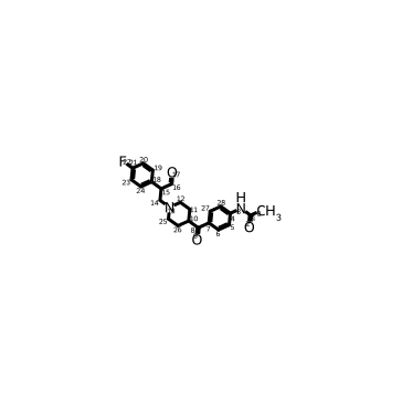 CC(=O)Nc1ccc(C(=O)C2CCN(CC(C=O)c3ccc(F)cc3)CC2)cc1